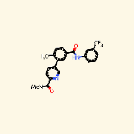 CNC(=O)c1ccc(-c2cc(C(=O)Nc3cccc(C(F)(F)F)c3)ccc2C)cn1